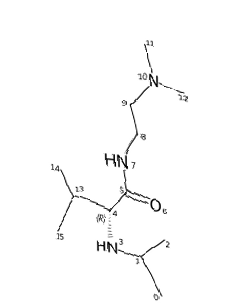 CC(C)N[C@@H](C(=O)NCCN(C)C)C(C)C